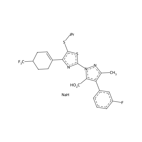 Cc1nn(-c2nc(C3=CCC(C(F)(F)F)CC3)c(SC(C)C)s2)c(C(=O)O)c1-c1cccc(F)c1.[NaH]